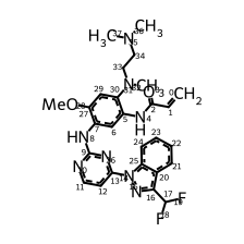 C=CC(=O)Nc1cc(Nc2nccc(-n3nc(C(F)F)c4ccccc43)n2)c(OC)cc1N(C)CCN(C)C